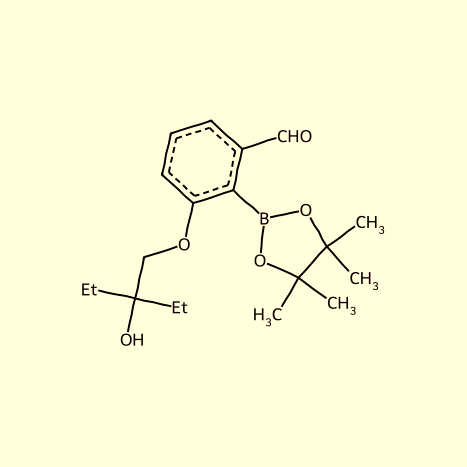 CCC(O)(CC)COc1cccc(C=O)c1B1OC(C)(C)C(C)(C)O1